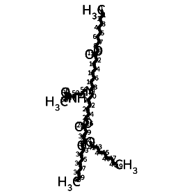 CCCCCCCCCOC(=O)CCCCCCCN(CCCCCCOC(=O)CCC(OCCCCCCCC)OCCCCCCCC)CCCNC(C)=O